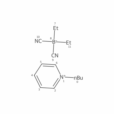 CCCC[n+]1ccccc1.CC[B-](C#N)(C#N)CC